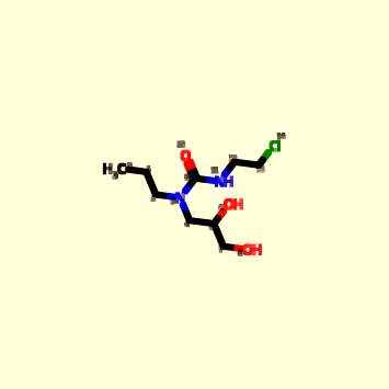 CCCN(CC(O)CO)C(=O)NCCCl